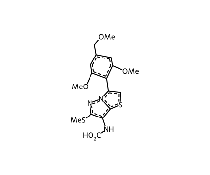 COCc1cc(OC)c(-c2csc3c(NC(=O)O)c(SC)nn23)c(OC)c1